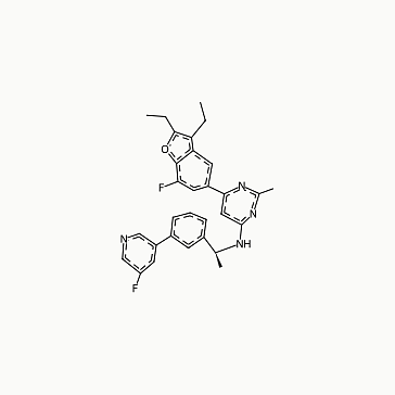 CCc1oc2c(F)cc(-c3cc(N[C@@H](C)c4cccc(-c5cncc(F)c5)c4)nc(C)n3)cc2c1CC